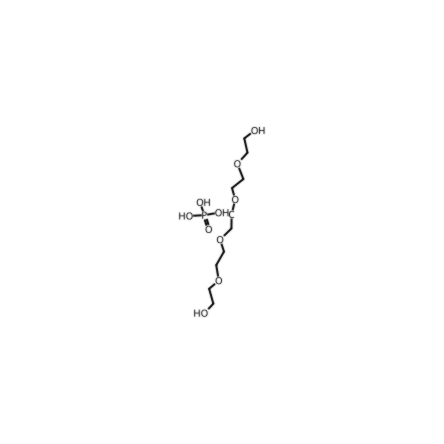 O=P(O)(O)O.OCCOCCOCCOCCOCCO